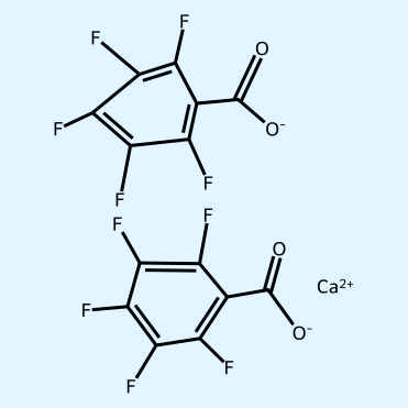 O=C([O-])c1c(F)c(F)c(F)c(F)c1F.O=C([O-])c1c(F)c(F)c(F)c(F)c1F.[Ca+2]